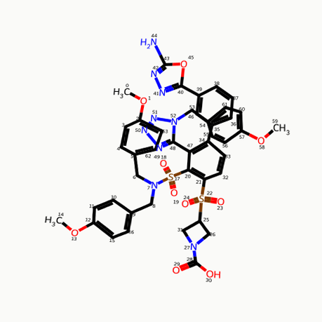 COc1ccc(CN(Cc2ccc(OC)cc2)S(=O)(=O)c2c(S(=O)(=O)C3CN(C(=O)O)C3)ccc(-c3cccc(-c4nnc(N)o4)c3)c2-c2nnnn2Cc2ccc(OC)cc2)cc1